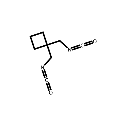 O=C=NCC1(CN=C=O)CCC1